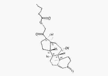 CCCC(=O)OCC(=O)[C@]1(O)CC[C@H]2[C@@H]3CCC4=CC(=O)CC[C@]4(C)[C@H]3[C@@H](O)C[C@@]21C